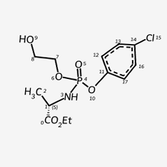 CCOC(=O)[C@H](C)NP(=O)(OCCO)Oc1ccc(Cl)cc1